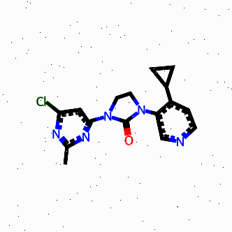 Cc1nc(Cl)cc(N2CCN(c3cnccc3C3CC3)C2=O)n1